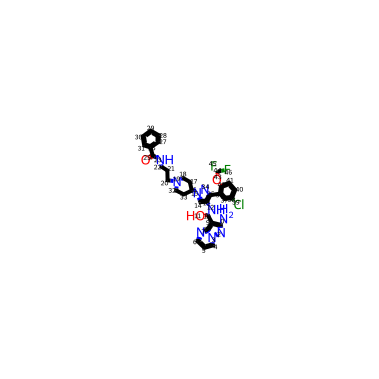 Nc1nn2cccnc2c1C(O)Nc1cn(C2CCN(CCCNC(=O)c3ccccc3)CC2)nc1-c1cc(Cl)ccc1OC(F)F